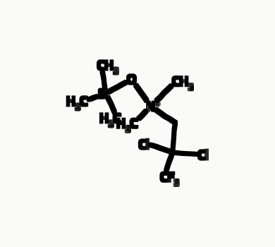 C[N+](C)(CC(Cl)(Cl)C(F)(F)F)O[Si](C)(C)C